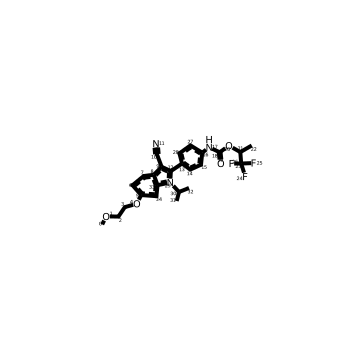 COCCOc1ccc2c(C#N)c(-c3ccc(NC(=O)OC(C)C(F)(F)F)cc3)n(C(C)C)c2c1